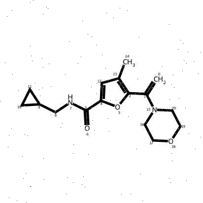 C=C(c1oc(C(=O)NCC2CC2)cc1C)N1CCOCC1